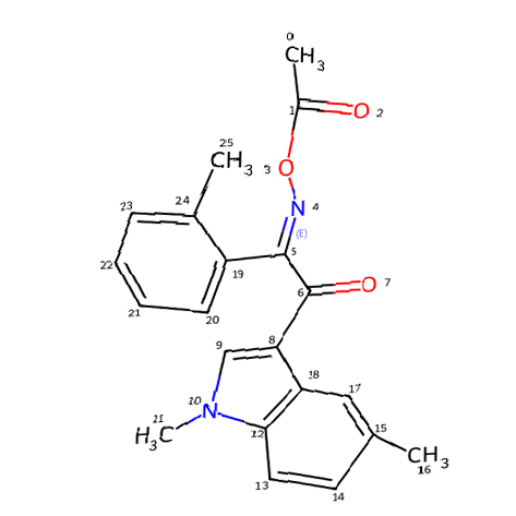 CC(=O)O/N=C(/C(=O)c1cn(C)c2ccc(C)cc12)c1ccccc1C